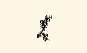 CC(C)(C)OC(=O)NCC(CCF)CCc1ccc2c(c1)CCN(CC(=O)O)C2=O